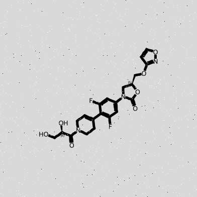 O=C([C@H](O)CO)N1CC=C(c2c(F)cc(N3C[C@@H](COc4ccon4)OC3=O)cc2F)CC1